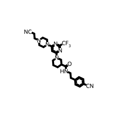 N#CCCN1CCN(c2cc(N3CCCC(C(=O)NCCc4ccc(C#N)cc4)C3)nc(C(F)(F)F)n2)CC1